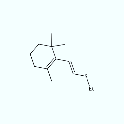 CCSC=CC1=C(C)CCCC1(C)C